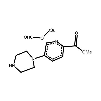 CC(C)(C)OC=O.COC(=O)c1ccc(N2CCNCC2)cn1